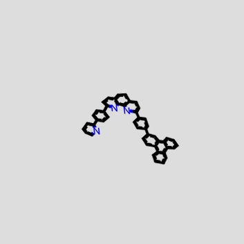 c1ccc(-c2ccc(-c3ccc4ccc5ccc(-c6ccc(-c7ccc8c9ccccc9c9ccccc9c8c7)cc6)nc5c4n3)cc2)nc1